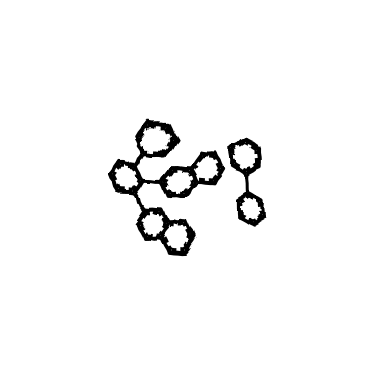 c1ccc(-c2cccc(-c3ccc4ccccc4c3)c2-c2ccc3ccccc3c2)cc1.c1ccc(-c2ccccc2)cc1